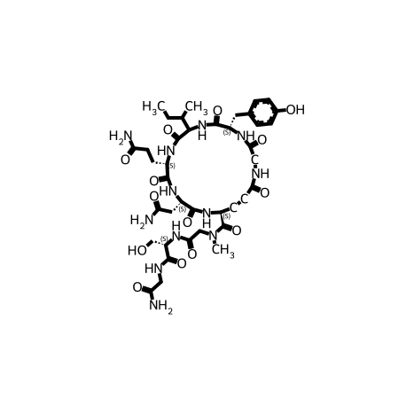 CCC(C)C1NC(=O)[C@H](Cc2ccc(O)cc2)NC(=O)CNC(=O)CC[C@@H](C(=O)N(C)CC(=O)N[C@@H](CO)C(=O)NCC(N)=O)NC(=O)[C@H](CC(N)=O)NC(=O)[C@H](CCC(N)=O)NC1=O